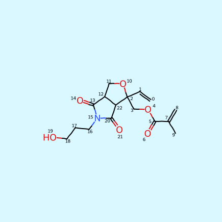 C=CC1(COC(=O)C(=C)C)OCC2C(=O)N(CCCO)C(=O)C21